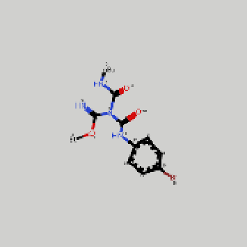 CCCCNC(=O)N(C(=N)OCC)C(=O)Nc1ccc(Br)cc1